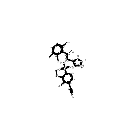 COc1c(S(=O)(=O)N[C@@H](c2nn[nH]n2)[C@@H](C)c2c(F)ccc(C)c2C)ccc(C#N)c1F